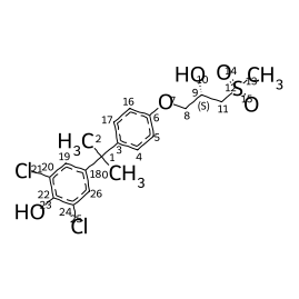 CC(C)(c1ccc(OC[C@H](O)CS(C)(=O)=O)cc1)c1cc(Cl)c(O)c(Cl)c1